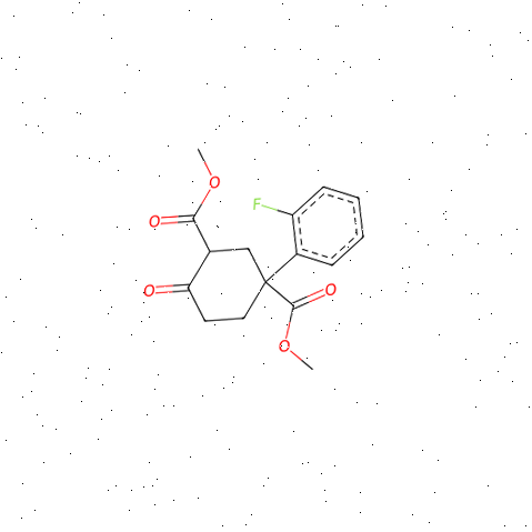 COC(=O)C1CC(C(=O)OC)(c2ccccc2F)CCC1=O